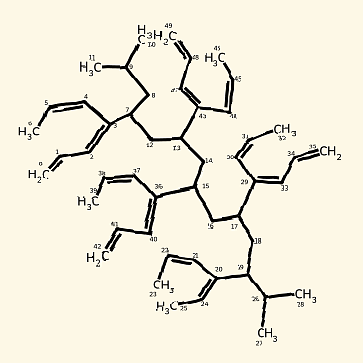 C=C/C=C(\C=C/C)C(CC(C)C)CC(CC(CC(CC(C(/C=C\C)=C/C)C(C)C)C(/C=C\C)=C/C=C)C(/C=C\C)=C/C=C)C(/C=C\C)=C/C=C